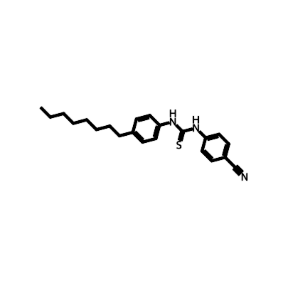 CCCCCCCCc1ccc(NC(=S)Nc2ccc(C#N)cc2)cc1